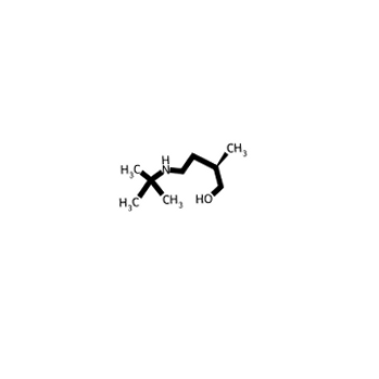 C[C@@H](CO)CCNC(C)(C)C